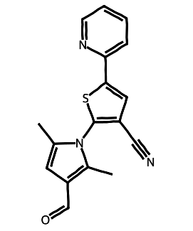 Cc1cc(C=O)c(C)n1-c1sc(-c2ccccn2)cc1C#N